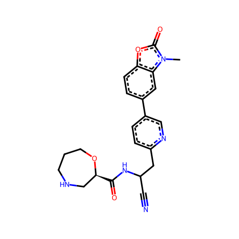 Cn1c(=O)oc2ccc(-c3ccc(CC(C#N)NC(=O)[C@H]4CNCCCO4)nc3)cc21